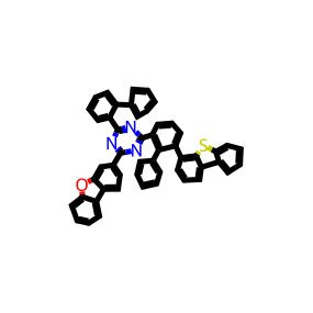 c1ccc(-c2ccccc2-c2nc(-c3ccc4c(c3)oc3ccccc34)nc(-c3cccc(-c4cccc5c4sc4ccccc45)c3-c3ccccc3)n2)cc1